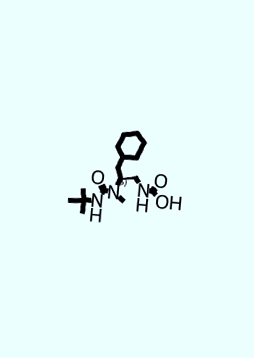 CN(C(=O)NC(C)(C)C)[C@H](CNC(=O)O)CC1CCCCC1